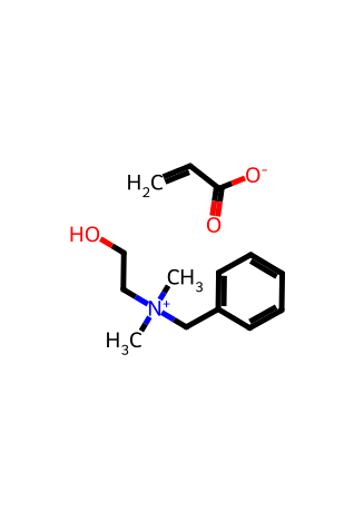 C=CC(=O)[O-].C[N+](C)(CCO)Cc1ccccc1